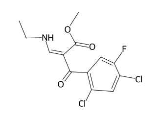 CCNC=C(C(=O)OC)C(=O)c1cc(F)c(Cl)cc1Cl